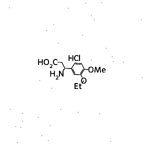 CCOc1cc([C@@H](N)CC(=O)O)ccc1OC.Cl